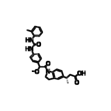 COC(C(=O)N1CCc2cc([C@@H](C)CC(=O)O)ccc21)c1ccc(NC(=O)Nc2ccccc2C)cc1